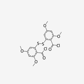 COc1cc(OC)c(C(=O)Cl)c(SSc2cc(OC)cc(OC)c2C(=O)Cl)c1